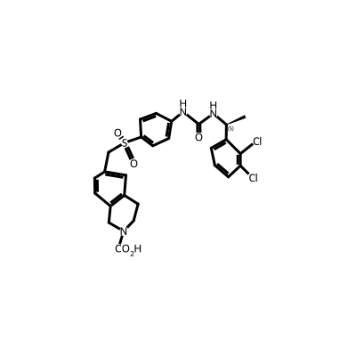 C[C@H](NC(=O)Nc1ccc(S(=O)(=O)Cc2ccc3c(c2)CCN(C(=O)O)C3)cc1)c1cccc(Cl)c1Cl